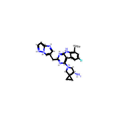 CNc1cc(F)cc2c1[nH]c1nc(Cc3cnc4ccnn4c3)nc(N3C[C@H](N)C4(CC4)C3)c12